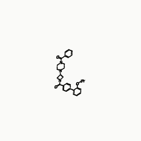 CC(C)Oc1ccccc1-c1ccc(C(=O)N2CC(N3CCN(C(=O)c4ccccc4)CC3)C2)cc1